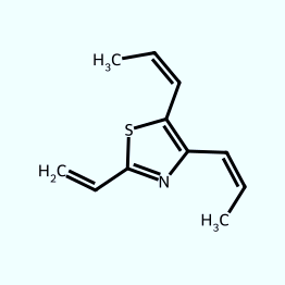 C=Cc1nc(/C=C\C)c(/C=C\C)s1